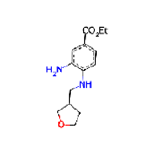 CCOC(=O)c1ccc(NCC2CCOC2)c(N)c1